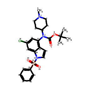 CN1CCC(N(C(=O)OC(C)(C)C)c2cc(Cl)cc3c2ccn3S(=O)(=O)c2ccccc2)CC1